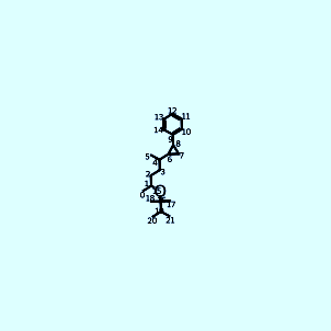 CC(CCC(C)C1CC1c1ccccc1)OC(C)(C)C(C)C